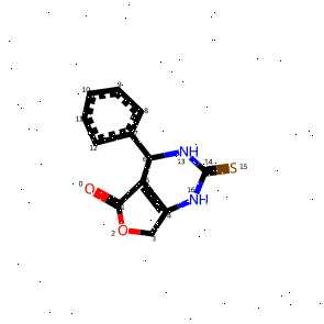 O=C1OCC2=C1C(c1ccccc1)NC(=S)N2